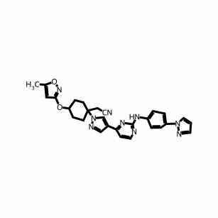 Cc1cc(OC2CCC(CC#N)(n3cc(-c4ccnc(Nc5ccc(-n6cccn6)cc5)n4)cn3)CC2)no1